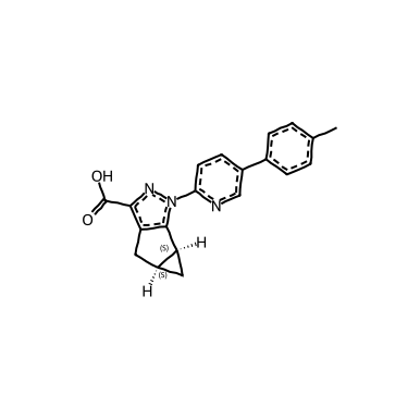 Cc1ccc(-c2ccc(-n3nc(C(=O)O)c4c3[C@H]3C[C@H]3C4)nc2)cc1